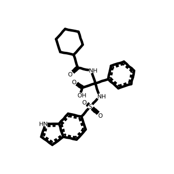 O=C(NC(NS(=O)(=O)c1ccc2cc[nH]c2c1)(C(=O)O)c1ccccc1)C1CCCCC1